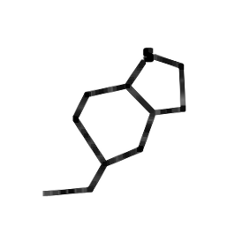 CCC1CCC2SCCC2C1